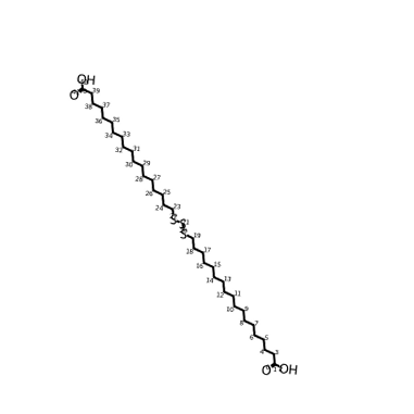 O=C(O)CCCCCCCCCCCCCCCCCSSSCCCCCCCCCCCCCCCCCC(=O)O